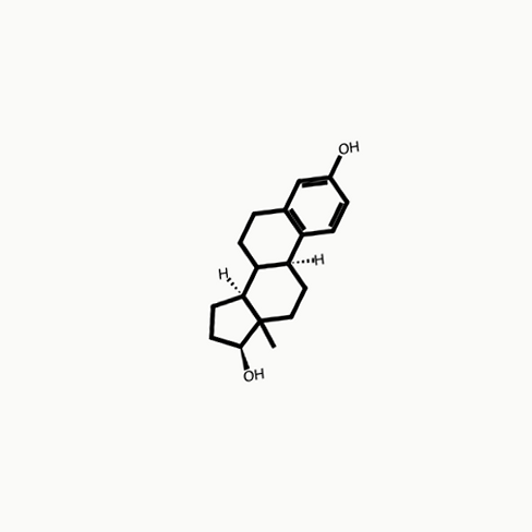 CC12CC[C@@H]3c4ccc(O)cc4CCC3[C@@H]1CC[C@@H]2O